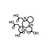 CC1(N(CC(=O)O)CC(=O)O)CN(CC(=O)O)[C@@H]2CCCC[C@H]2N(CC(=O)O)C1